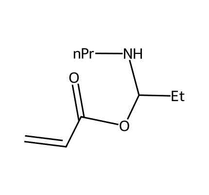 C=CC(=O)OC(CC)NCCC